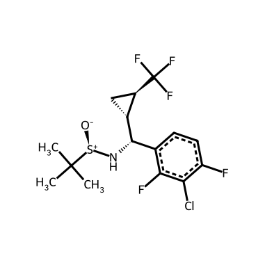 CC(C)(C)[S@@+]([O-])N[C@@H](c1ccc(F)c(Cl)c1F)[C@@H]1C[C@H]1C(F)(F)F